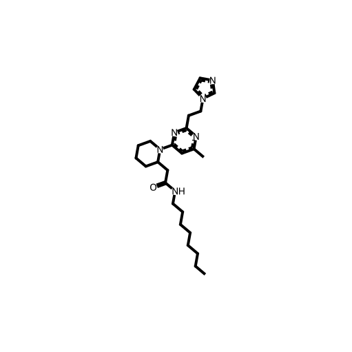 CCCCCCCCNC(=O)CC1CCCCN1c1cc(C)nc(CCn2ccnc2)n1